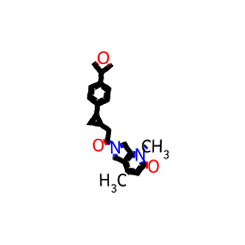 Cc1cc(=O)n(C)c2c1CN(C(=O)CC1CC1c1ccc(C3COC3)cc1)C2